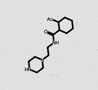 CC(=O)C1CCCCC1C(=O)NCCN1CCNCC1